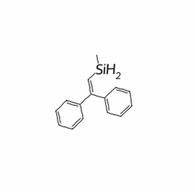 C[SiH2]C=C(c1ccccc1)c1ccccc1